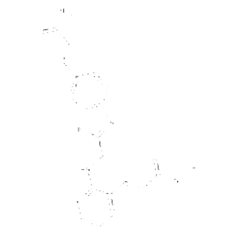 NC(=O)CCc1ccc2nc(CNc3ccccc3C=CC(=O)NO)[nH]c2c1